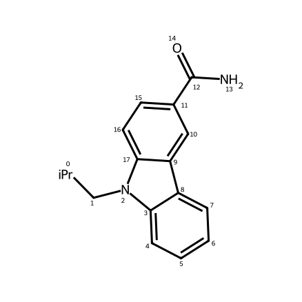 CC(C)Cn1c2ccccc2c2cc(C(N)=O)ccc21